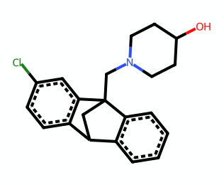 OC1CCN(CC23CC(c4ccccc42)c2ccc(Cl)cc23)CC1